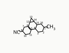 CC1CCC2C3=C(CC(C#N)CC3)C3CC3C2C1